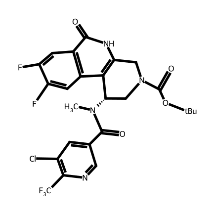 CN(C(=O)c1cnc(C(F)(F)F)c(Cl)c1)[C@H]1CN(C(=O)OC(C)(C)C)Cc2[nH]c(=O)c3cc(F)c(F)cc3c21